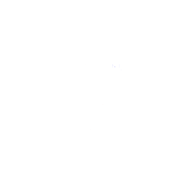 COC1OC(C=O)C(OC)C(OC)C1N